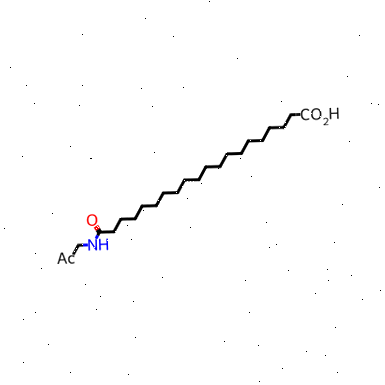 CC(=O)CNC(=O)CCCCCCCCCCCCCCCCCCC(=O)O